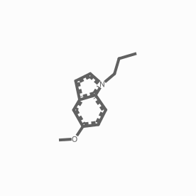 CCCn1ccc2cc(OC)ccc21